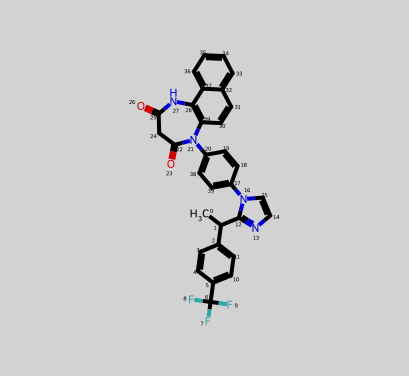 CC(c1ccc(C(F)(F)F)cc1)c1nccn1-c1ccc(N2C(=O)CC(=O)Nc3c2ccc2ccccc32)cc1